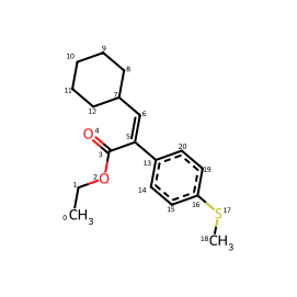 CCOC(=O)C(=CC1CCCCC1)c1ccc(SC)cc1